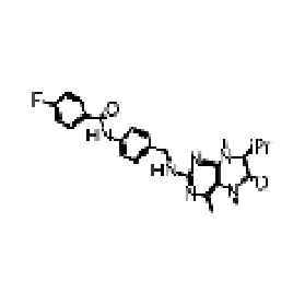 Cc1nc(NCc2ccc(NC(=O)c3ccc(F)cc3)cc2)nc2c1N(C)C(=O)C(C(C)C)N2C